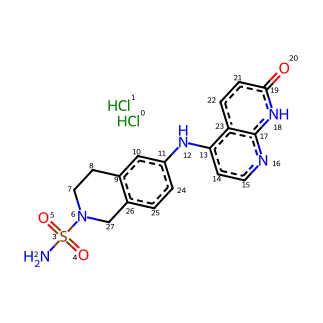 Cl.Cl.NS(=O)(=O)N1CCc2cc(Nc3ccnc4[nH]c(=O)ccc34)ccc2C1